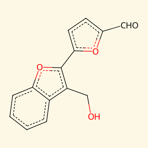 O=Cc1ccc(-c2oc3ccccc3c2CO)o1